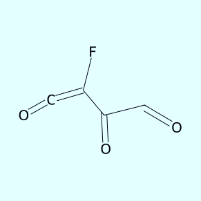 O=C=C(F)C(=O)C=O